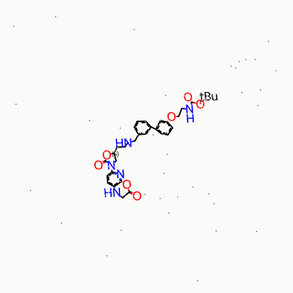 CC(C)(C)OC(=O)NCCOc1cccc(-c2cccc(CNCC[C@H]3CN(c4ccc5c(n4)OC(=O)CN5)C(=O)O3)c2)c1